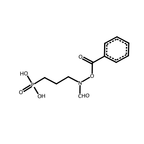 O=CN(CCCP(=O)(O)O)OC(=O)c1ccccc1